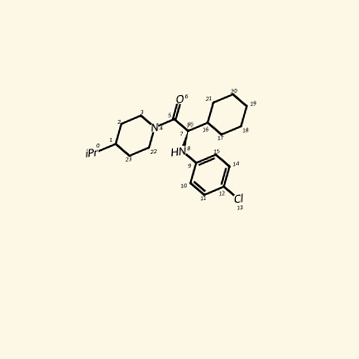 CC(C)C1CCN(C(=O)[C@H](Nc2ccc(Cl)cc2)C2CCCCC2)CC1